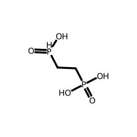 O=[PH](O)CCP(=O)(O)O